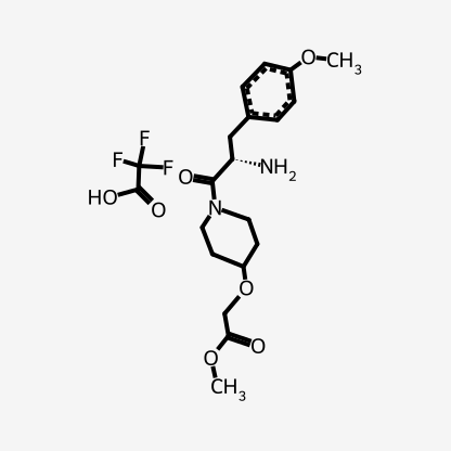 COC(=O)COC1CCN(C(=O)[C@@H](N)Cc2ccc(OC)cc2)CC1.O=C(O)C(F)(F)F